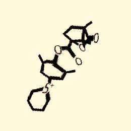 Cc1cc([S+]2CCCCC2)cc(C)c1OC(=O)C12CCC(C)(C(=O)O1)C2(C)C